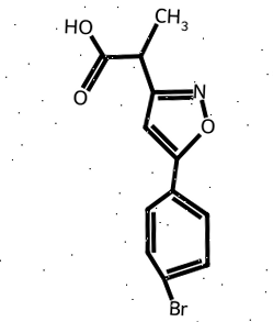 CC(C(=O)O)c1cc(-c2ccc(Br)cc2)on1